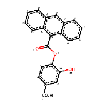 O=C(O)c1ccc(OC(=O)c2c3ccccc3cc3ccccc23)c(O)c1